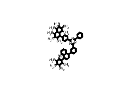 Bc1c(B)c(B)c(-c2ccc(-c3cccc(-c4nc(-c5ccccc5)nc(-c5ccc(-c6c(B)c(B)c(B)c7c(B)c(B)c(B)c(B)c67)cc5)n4)c3)c3ccccc23)c(B)c1B